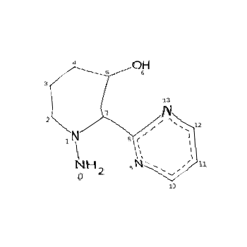 NN1CCCC(O)C1c1ncccn1